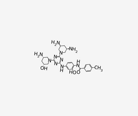 Cc1ccc(C(=O)Nc2ccc(Nc3nc(N4C[C@H](N)C[C@H](N)C4)nc(N4C[C@@H](N)C[C@@H](O)C4)n3)cc2O)cc1